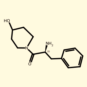 N[C@@H](Cc1ccccc1)C(=O)N1CCC(O)CC1